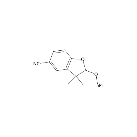 CCCOC1Oc2ccc(C#N)cc2C1(C)C